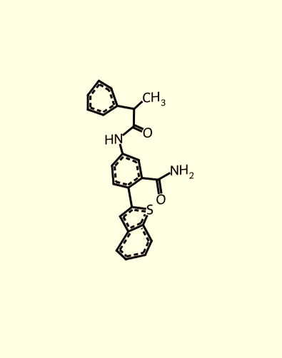 CC(C(=O)Nc1ccc(-c2cc3ccccc3s2)c(C(N)=O)c1)c1ccccc1